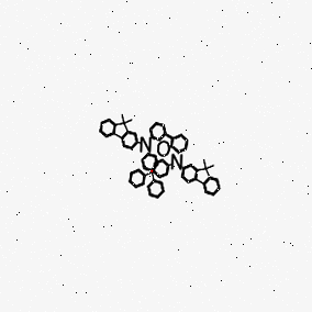 CC1(C)c2ccccc2-c2ccc(N(c3ccc(-c4ccccc4)cc3)c3cccc4c3oc3c(N(c5ccc(-c6ccccc6)cc5)c5ccc6c(c5)C(C)(C)c5ccccc5-6)cccc34)cc21